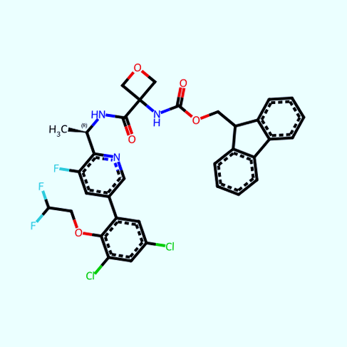 C[C@@H](NC(=O)C1(NC(=O)OCC2c3ccccc3-c3ccccc32)COC1)c1ncc(-c2cc(Cl)cc(Cl)c2OCC(F)F)cc1F